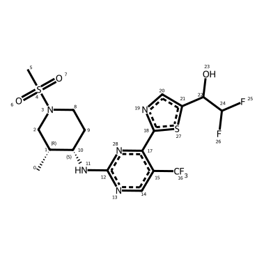 C[C@@H]1CN(S(C)(=O)=O)CC[C@@H]1Nc1ncc(C(F)(F)F)c(-c2ncc(C(O)C(F)F)s2)n1